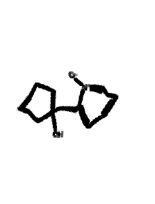 [O-][n+]1ccccc1C1(O)CCCC1